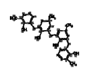 Cc1cc(Cc2cccc(C)c2O)c(O)c(Cc2cc(C)cc(Cc3cccc(C)c3O)c2O)c1